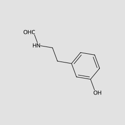 O=CNCCc1cccc(O)c1